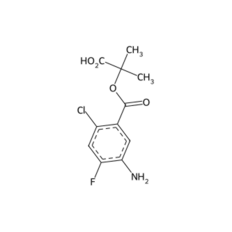 CC(C)(OC(=O)c1cc(N)c(F)cc1Cl)C(=O)O